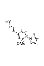 COc1cc(C=CCO)ccc1-n1cccn1